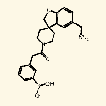 NCc1ccc2c(c1)C1(CCN(C(=O)Cc3cccc(B(O)O)c3)CC1)CO2